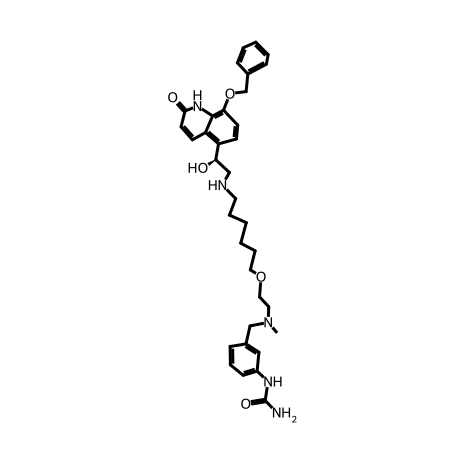 CN(CCOCCCCCCNC[C@@H](O)c1ccc(OCc2ccccc2)c2[nH]c(=O)ccc12)Cc1cccc(NC(N)=O)c1